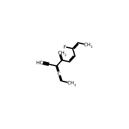 C#CC(=C=CC)C(=C)/C=C\C(F)=C/C